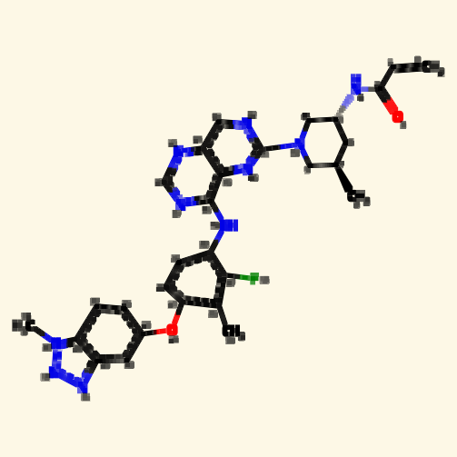 C=CC(=O)N[C@@H]1C[C@@H](C)CN(c2ncc3ncnc(Nc4ccc(Oc5ccc6c(c5)nnn6C)c(C)c4F)c3n2)C1